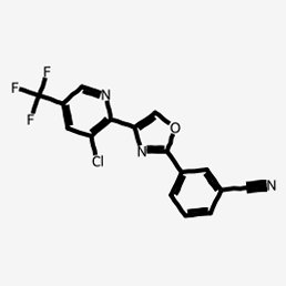 N#Cc1cccc(-c2nc(-c3ncc(C(F)(F)F)cc3Cl)co2)c1